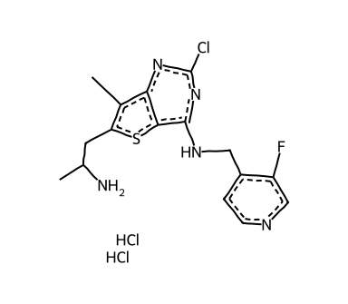 Cc1c(CC(C)N)sc2c(NCc3ccncc3F)nc(Cl)nc12.Cl.Cl